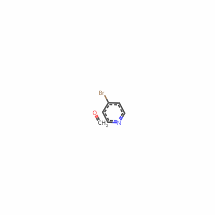 Brc1ccncc1.C=O